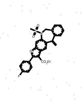 C=C1c2ccccc2CN(S(C)(=O)=O)c2cc3oc(-c4ccc(F)cc4)c(C(=O)OCC)c3cc21